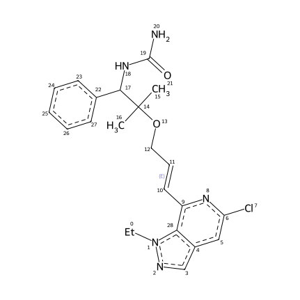 CCn1ncc2cc(Cl)nc(/C=C/COC(C)(C)C(NC(N)=O)c3ccccc3)c21